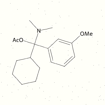 COc1cccc(C(OC(C)=O)(C2CCCCC2)N(C)C)c1